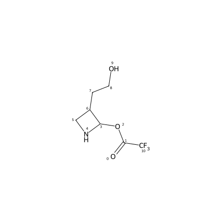 O=C(OC1NCC1CCO)C(F)(F)F